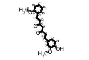 COc1cc(/C=C/C(=O)CC(=O)/C=C/c2ccccc2OC)ccc1O